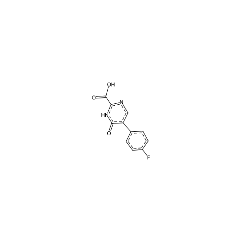 O=C(O)c1ncc(-c2ccc(F)cc2)c(=O)[nH]1